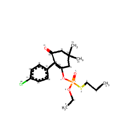 CCCSP(=O)(OCC)OC1=C(c2ccc(Cl)cc2)C(=O)CC(C)(C)C1